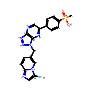 CP(=O)(O)c1ccc(-c2cnc3nnn(Cc4ccc5ncc(F)n5c4)c3n2)cc1